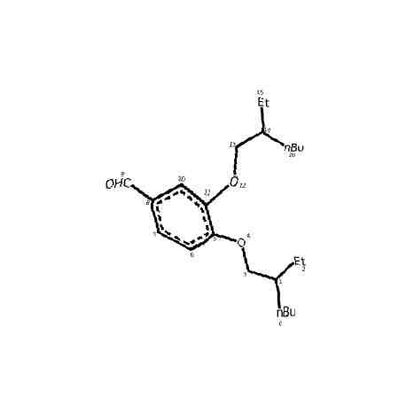 CCCCC(CC)COc1ccc(C=O)cc1OCC(CC)CCCC